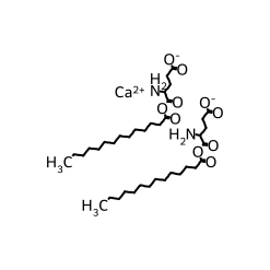 CCCCCCCCCCCCCC(=O)OC(=O)C(N)CCC(=O)[O-].CCCCCCCCCCCCCC(=O)OC(=O)C(N)CCC(=O)[O-].[Ca+2]